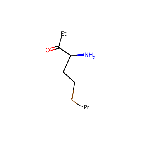 CCCSCC[C@H](N)C(=O)CC